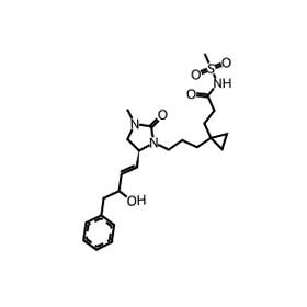 CN1C[C@H](C=CC(O)Cc2ccccc2)N(CCCC2(CCC(=O)NS(C)(=O)=O)CC2)C1=O